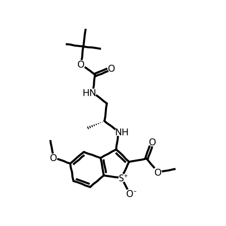 COC(=O)c1c(N[C@H](C)CNC(=O)OC(C)(C)C)c2cc(OC)ccc2[s+]1[O-]